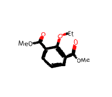 CCOc1c(C(=O)OC)cccc1C(=O)OC